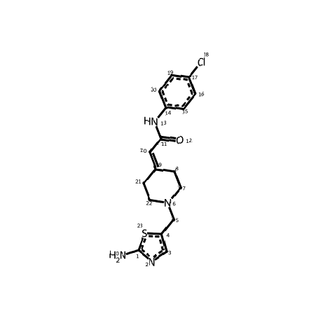 Nc1ncc(CN2CCC(=CC(=O)Nc3ccc(Cl)cc3)CC2)s1